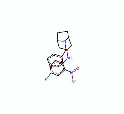 O=[N+]([O-])c1cc(F)ccc1NC1CC2CCC(C1)N2Cc1ccccc1